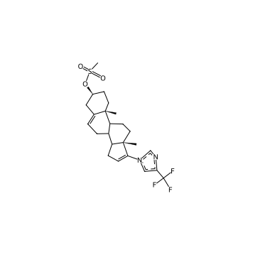 C[C@]12CC[C@H](OS(C)(=O)=O)CC1=CCC1C2CC[C@]2(C)C(n3cnc(C(F)(F)F)c3)=CCC12